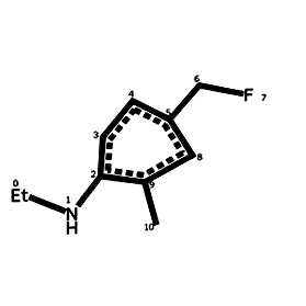 CCNc1ccc(CF)cc1C